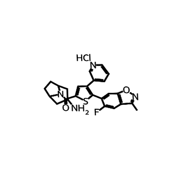 Cc1noc2cc(-c3sc(C(=O)N4C5CCC4CC(N)C5)cc3-c3cccnc3)c(F)cc12.Cl